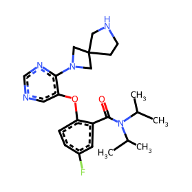 CC(C)N(C(=O)c1cc(F)ccc1Oc1cncnc1N1CC2(CCNC2)C1)C(C)C